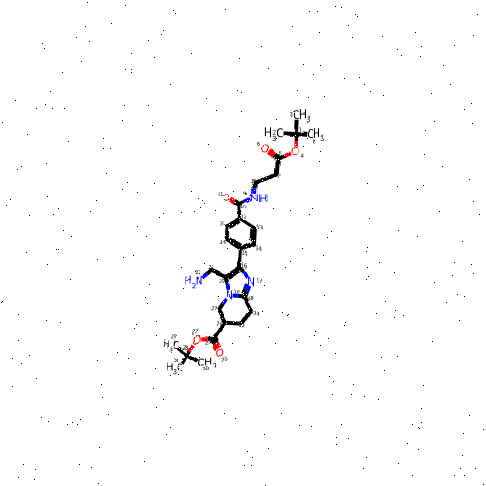 CC(C)(C)OC(=O)CCNC(=O)c1ccc(-c2nc3n(c2CN)CC(C(=O)OC(C)(C)C)CC3)cc1